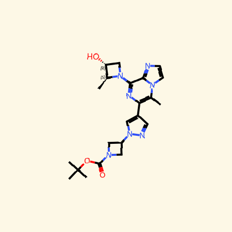 Cc1c(-c2cnn(C3CN(C(=O)OC(C)(C)C)C3)c2)nc(N2C[C@@H](O)[C@@H]2C)c2nccn12